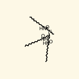 CCCCCCCCCCCCNC(=O)CCN(CCC)CCN(CCC(=O)NCCCCCCCCCCCC)CCC(=O)NCCCCCCCCCCCC